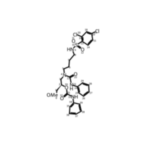 COC[C@@H](CN(CCCCNS(=O)(=O)c1ccc(Cl)cc1Cl)C(=O)Nc1ccccc1)OC(=O)Nc1ccccc1